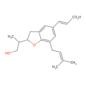 CC(C)=CCc1cc(/C=C/C(=O)O)cc2c1OC(C(C)CO)C2